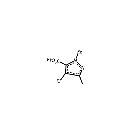 CCOC(=O)c1c(Cl)c(C)nn1CC